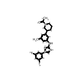 CC(=O)N1CCCC(c2cc(C)cc(Nc3ncn(-c4cc(F)cc(F)c4)n3)c2)C1